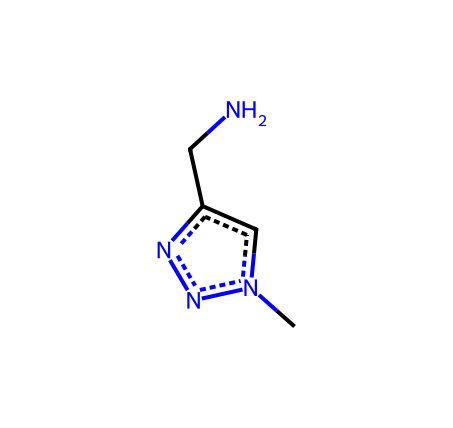 Cn1cc(CN)nn1